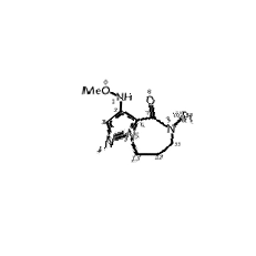 CONc1cnn2c1C(=O)N(C(C)C)CCC2